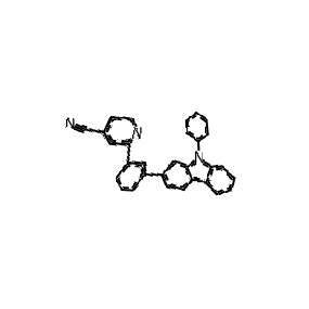 N#Cc1ccnc(-c2cccc(-c3ccc4c5ccccc5n(-c5ccccc5)c4c3)c2)c1